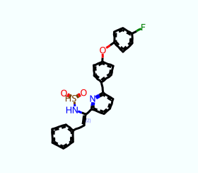 O=[SH](=O)N/C(=C\c1ccccc1)c1cccc(-c2ccc(Oc3ccc(F)cc3)cc2)n1